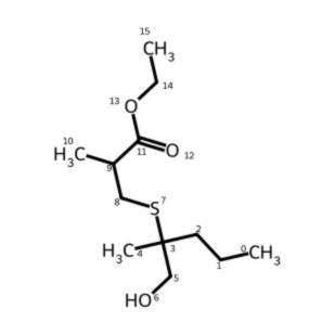 CCCC(C)(CO)SCC(C)C(=O)OCC